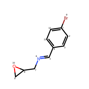 Brc1ccc(/C=N/CC2CO2)cc1